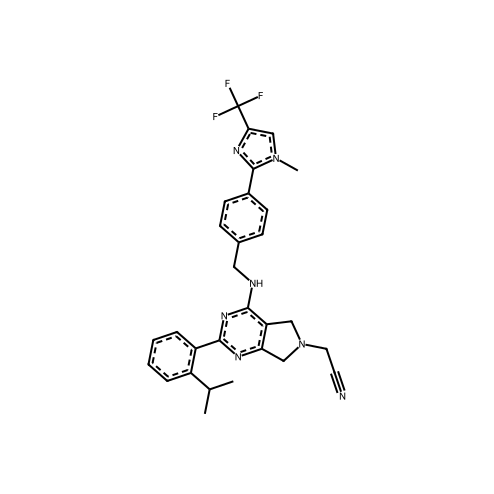 CC(C)c1ccccc1-c1nc2c(c(NCc3ccc(-c4nc(C(F)(F)F)cn4C)cc3)n1)CN(CC#N)C2